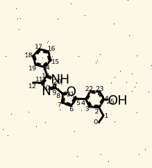 CCc1cc(-c2ccc(-c3nc(C)c(-c4ccccc4)[nH]3)o2)ccc1O